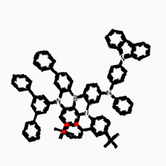 CC(C)(C)c1ccc(N2c3cc(N(c4ccccc4)c4ccc(-n5c6ccccc6c6ccccc65)cc4)ccc3B3c4ccc(-c5ccccc5)cc4N(c4cc(-c5ccccc5)cc(-c5ccccc5)c4)c4cc(C(C)(C)C)cc2c43)c(-c2ccccc2)c1